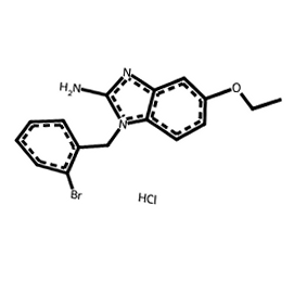 CCOc1ccc2c(c1)nc(N)n2Cc1ccccc1Br.Cl